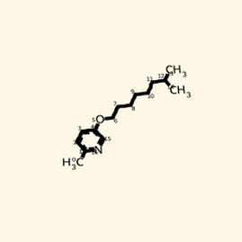 Cc1ccc(OCCCCCCC(C)C)cn1